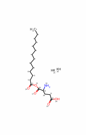 CCCCCCCCCCCCCC(=O)OC(=O)C(N)CCC(=O)O.[KH].[KH]